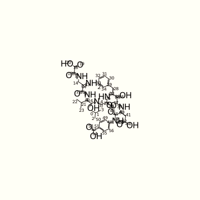 CC(C)C[C@H](NC(=O)[C@@H](NC(=O)[C@@H](N)CNC(=O)C(=O)O)C(C)C)C(=O)N[C@@H](Cc1ccccc1)[C@@H](O)C(=O)N[C@@H](CC(=O)O)C(=O)Nc1ccc(C(=O)O)cc1